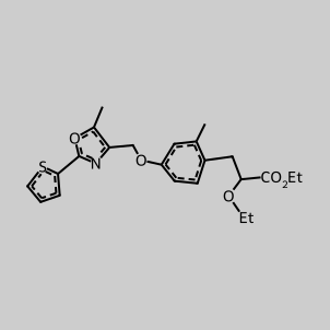 CCOC(=O)C(Cc1ccc(OCc2nc(-c3cccs3)oc2C)cc1C)OCC